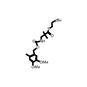 COc1cc(C)c(COC(=O)NCC(C)(C)C(=O)SCCC(C)(C)C)cc1OC